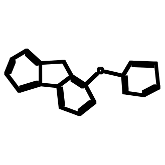 c1ccc(Oc2cccc3c2Cc2ccccc2-3)cc1